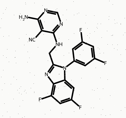 N#Cc1c(N)ncnc1NCc1nc2c(F)cc(F)cc2n1-c1cc(F)cc(F)c1